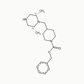 C[C@@H]1CNC[C@H](C)N1CC1CCN(C(=O)OCc2ccccc2)CC1